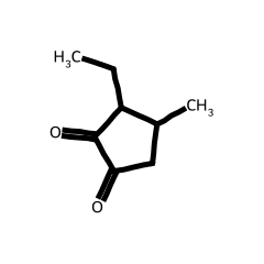 CCC1C(=O)C(=O)CC1C